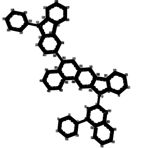 c1ccc(-c2nc(-n3c4ccccc4c4cc5cc(-c6ccc7c(c6)c6ccccc6n7-c6ccccc6)c6ccccc6c5cc43)nc3ccccc23)cc1